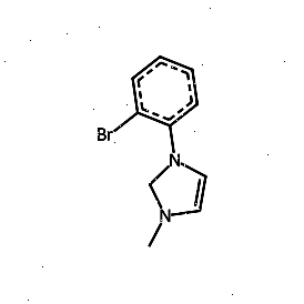 CN1C=CN(c2ccccc2Br)C1